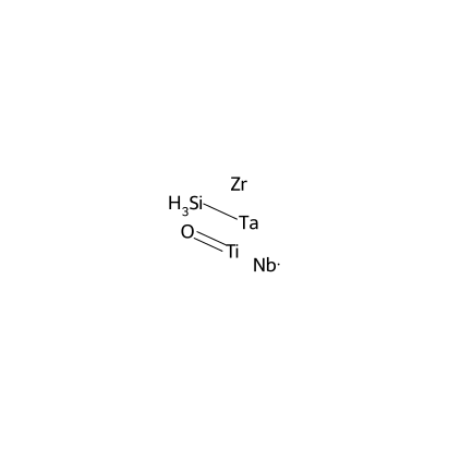 [Nb].[O]=[Ti].[SiH3][Ta].[Zr]